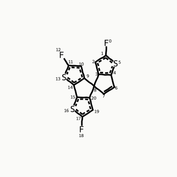 Fc1cc2c(s1)C=CC21c2cc(F)sc2-c2sc(F)cc21